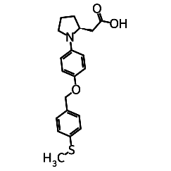 CSc1ccc(COc2ccc(N3CCC[C@H]3CC(=O)O)cc2)cc1